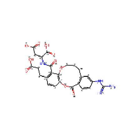 N=C(N)Nc1ccc2c(c1)CCCOc1c(ccc(CCC(=O)O)c1C(=O)NC(CC(=O)O)C(=O)O)OC2=O